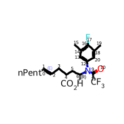 CCCCC/C=C/CCC[C@H](C(=O)O)N(C(=O)C(F)(F)F)c1cc(C)c(F)c(C)c1